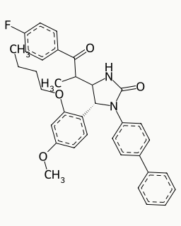 CCCCOc1cc(OC)ccc1[C@@H]1C(C(C)C(=O)c2ccc(F)cc2)NC(=O)N1c1ccc(-c2ccccc2)cc1